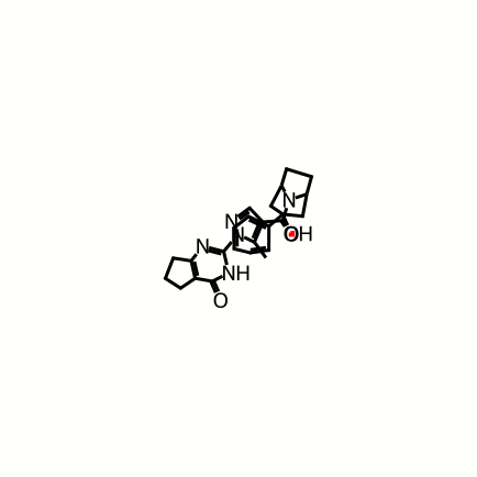 Cc1c(C(=O)N2C3CCC2CC(O)(c2ccccc2)C3)cnn1-c1nc2c(c(=O)[nH]1)CCC2